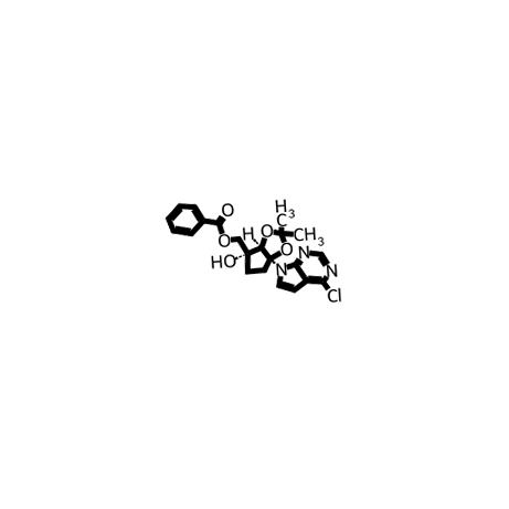 CC1(C)O[C@@H]2[C@](O)(COC(=O)c3ccccc3)CC[C@]2(n2ccc3c(Cl)ncnc32)O1